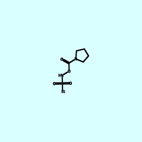 CCS(=O)(=O)NOC(=O)N1CCCC1